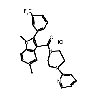 Cc1ccc2c(c1)c(C(=O)N1CCN(c3ccccn3)CC1)c(-c1cccc(C(F)(F)F)c1)n2C.Cl